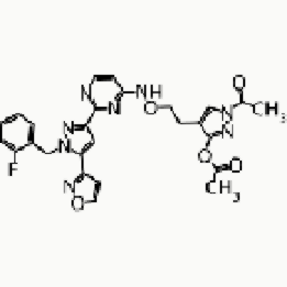 CC(=O)Oc1nn(C(C)=O)cc1CCONc1ccnc(-c2cc(-c3ccon3)n(Cc3ccccc3F)n2)n1